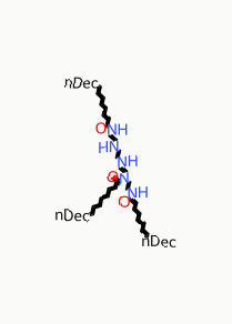 CCCCCCCCCCCCCCCCCC(=O)NCCNCCNCCN(CCNC(=O)CCCCCCCCCCCCCCCCC)C(=O)CCCCCCCCCCCCCCCCC